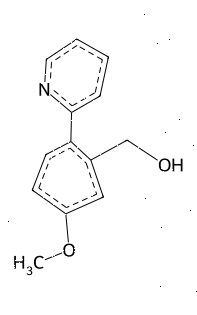 COc1ccc(-c2ccccn2)c(CO)c1